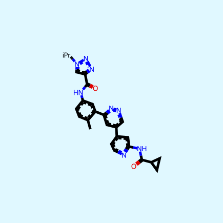 Cc1ccc(NC(=O)c2cn(C(C)C)nn2)cc1-c1cc(-c2ccnc(NC(=O)C3CC3)c2)cnn1